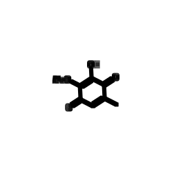 COC1=C(O)C(=O)C(C)=CC1=O